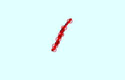 C=CC(=O)OCCCCCCC(=O)Oc1ccc2cc(C(=O)Oc3ccc(OC(=O)c4ccc5cc(OC(=O)COC(=O)C=C)ccc5c4)cc3C)ccc2c1